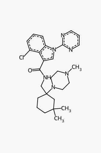 CN1CCN(C2(CNC(=O)c3cn(-c4ncccn4)c4cccc(Cl)c34)CCCC(C)(C)C2)CC1